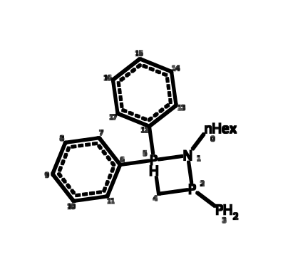 CCCCCCN1P(P)C[PH]1(c1ccccc1)c1ccccc1